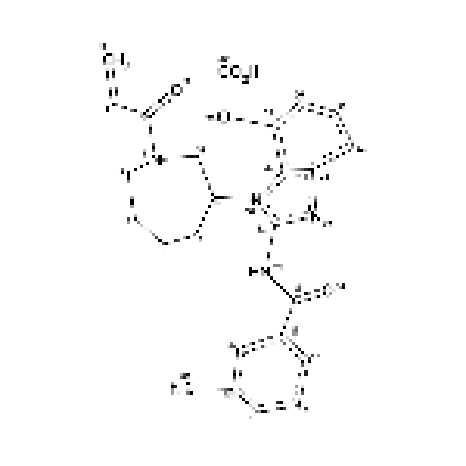 C=CC(=O)N1CCCCC(n2c(NC(=O)c3cccc(C(F)(F)F)c3)nc3cccc(OC(=O)O)c32)C1